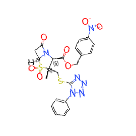 C[C@]1(CSc2nnnn2-c2ccccc2)[C@H](C(=O)OCc2ccc([N+](=O)[O-])cc2)N2C(=O)C[C@@H]2S1(=O)=O